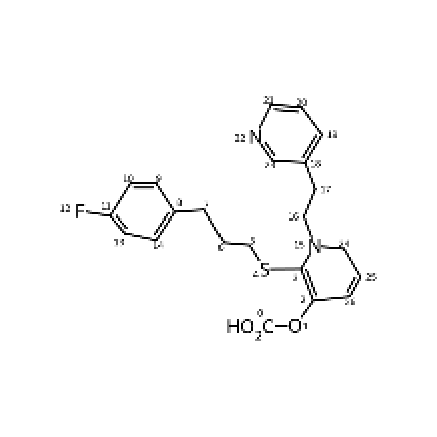 O=C(O)OC1=C(SCCCc2ccc(F)cc2)N(CCc2cccnc2)CC=C1